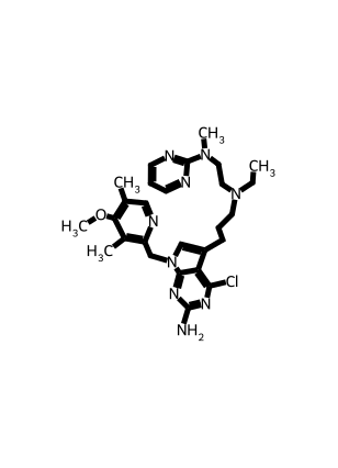 CCN(CCCc1cn(Cc2ncc(C)c(OC)c2C)c2nc(N)nc(Cl)c12)CCN(C)c1ncccn1